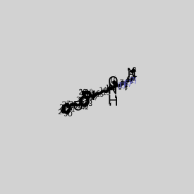 C=N\C=C/C=C(C)/C=C/C(=O)NCCCCCCn1ccc2cc(OCc3ccccc3)ccc21